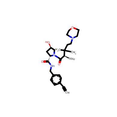 C#Cc1ccc(CNC(=O)[C@@H]2C[C@@H](O)CN2C(=O)[C@H](NC)C(C)(C)CCN2CCOCC2)cc1